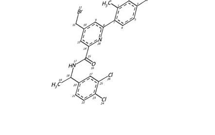 Cc1cc(F)ccc1-c1cc(CBr)cc(C(=O)NC(C)c2ccc(Cl)c(Cl)c2)n1